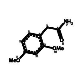 COc1ccc(CC(N)=O)c(OC)c1